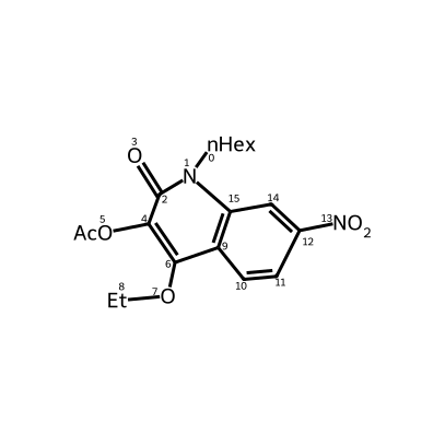 CCCCCCn1c(=O)c(OC(C)=O)c(OCC)c2ccc([N+](=O)[O-])cc21